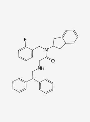 O=C(CNCC(c1ccccc1)c1ccccc1)N(Cc1ccccc1F)C1Cc2ccccc2C1